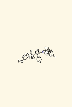 CC(C)(/C=C/n1ncc(C(=O)N[C@H]2C3CC4CC2C[C@](O)(C4)C3)c1N1CCOCC1)NS(C)(=O)=O